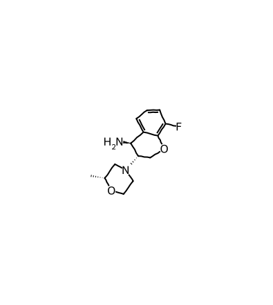 C[C@@H]1CN([C@H]2COc3c(F)cccc3[C@@H]2N)CCO1